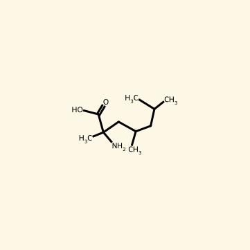 CC(C)CC(C)CC(C)(N)C(=O)O